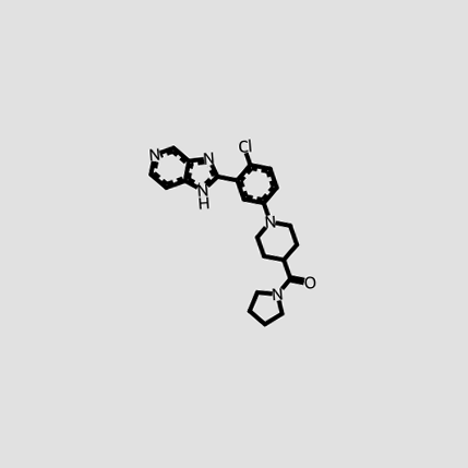 O=C(C1CCN(c2ccc(Cl)c(-c3nc4cnccc4[nH]3)c2)CC1)N1CCCC1